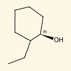 CCC1CCCC[C@H]1O